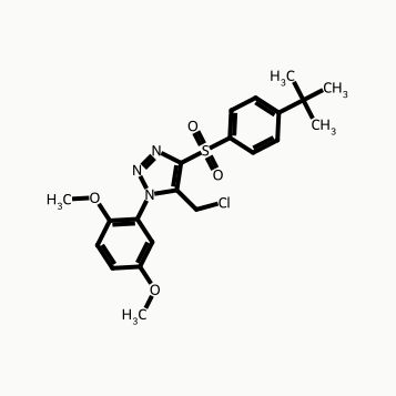 COc1ccc(OC)c(-n2nnc(S(=O)(=O)c3ccc(C(C)(C)C)cc3)c2CCl)c1